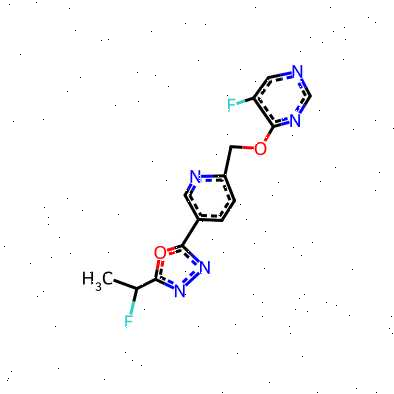 CC(F)c1nnc(-c2ccc(COc3ncncc3F)nc2)o1